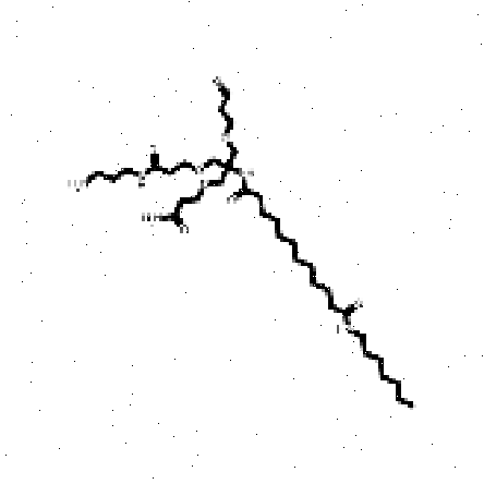 CCCCCCCNC(=O)CCCCCCCCCCC(=O)NC(COCCC=O)(COCCC(N)=O)COCCC(=O)NCCCN